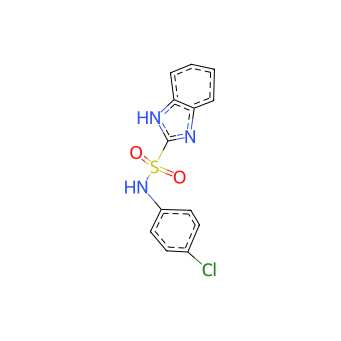 O=S(=O)(Nc1ccc(Cl)cc1)c1nc2ccccc2[nH]1